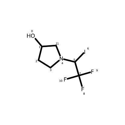 OC1CCN(C(I)C(F)(F)F)C1